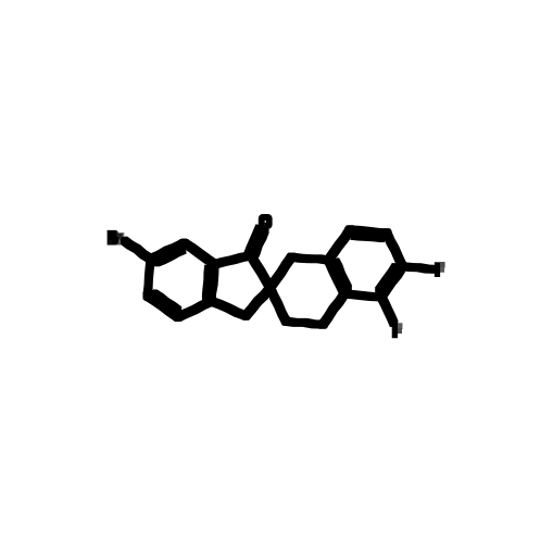 O=C1c2cc(Br)ccc2CC12CCc1c(ccc(F)c1F)C2